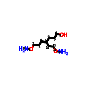 NOCC/C=C(/CCCO)CCON